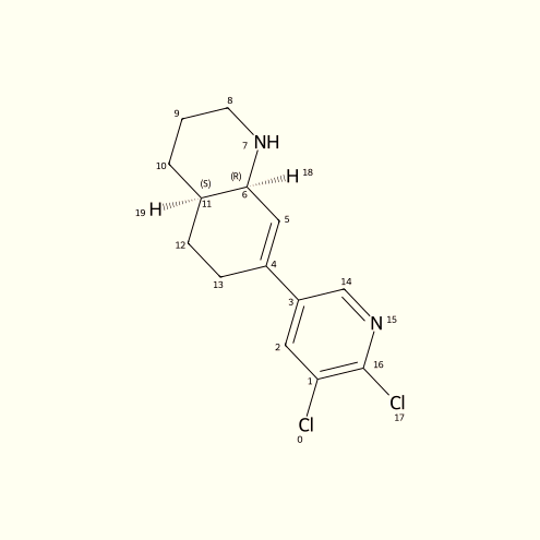 Clc1cc(C2=C[C@@H]3NCCC[C@@H]3CC2)cnc1Cl